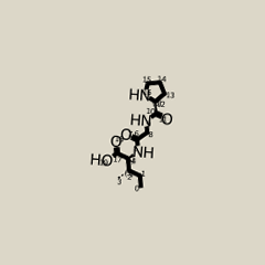 CC[C@H](C)[C@H](NC(=O)CNC(=O)[C@@H]1CCCN1)C(=O)O